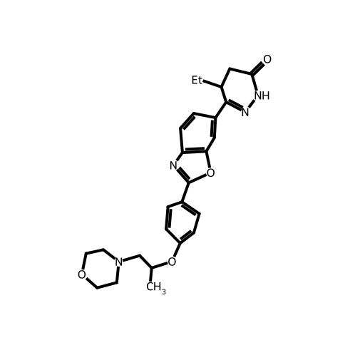 CCC1CC(=O)NN=C1c1ccc2nc(-c3ccc(OC(C)CN4CCOCC4)cc3)oc2c1